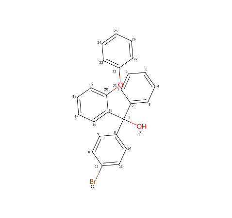 OC(c1ccccc1)(c1ccc(Br)cc1)c1ccccc1Oc1ccccc1